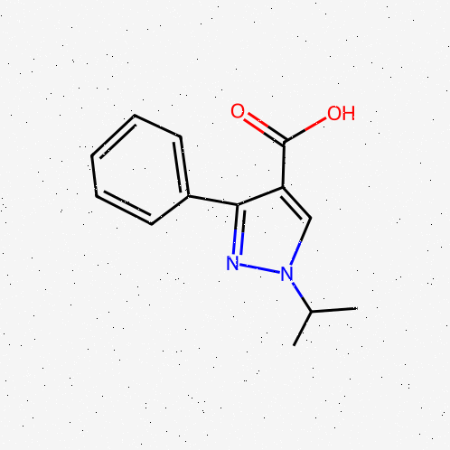 CC(C)n1cc(C(=O)O)c(-c2ccccc2)n1